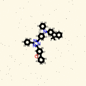 CC1(C)c2ccccc2-c2ccc(N(c3ccccc3)c3ccc(-c4nc(-c5ccccc5)nc(-c5ccc6c(c5)oc5ccccc56)n4)cc3)cc21